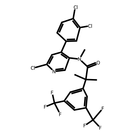 CN(C(=O)C(C)(C)c1cc(C(F)(F)F)cc(C(F)(F)F)c1)c1cnc(Cl)cc1-c1ccc(Cl)c(Cl)c1